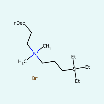 CCCCCCCCCCCC[N+](C)(C)CCC[Si](CC)(CC)CC.[Br-]